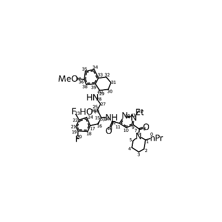 CCCC1CCCCN1C(=O)c1cc(C(=O)N[C@@H](Cc2cc(F)cc(F)c2)[C@H](O)CN[C@H]2CCCc3ccc(OC)cc32)nn1CC